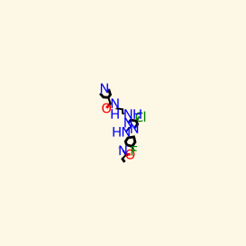 C=CC(=O)N(C)c1cc(Nc2ncc(Cl)c(NCCCNC(=O)c3ccncc3)n2)ccc1F